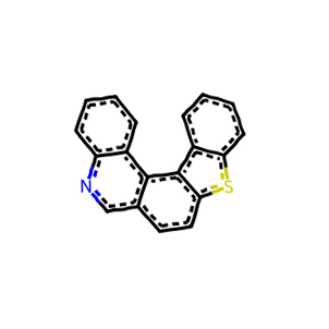 c1ccc2c(c1)ncc1ccc3sc4ccccc4c3c12